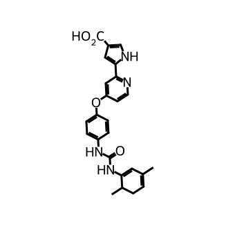 CC1=CCC(C)C(NC(=O)Nc2ccc(Oc3ccnc(-c4cc(C(=O)O)c[nH]4)c3)cc2)=C1